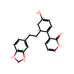 O=c1occcc1C1=CC=C(O)CC1CCc1ccc2c(c1)OCO2